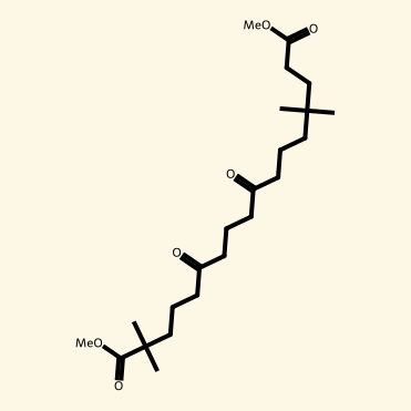 COC(=O)CCC(C)(C)CCCC(=O)CCCC(=O)CCCC(C)(C)C(=O)OC